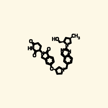 C[C@H]1C[C@H](CO)N(c2ncc3cc(CN4CC[C@H](Oc5ccc6c(c5)CN(C5CCC(=O)NC5=O)C6=O)C4)ccc3n2)C1